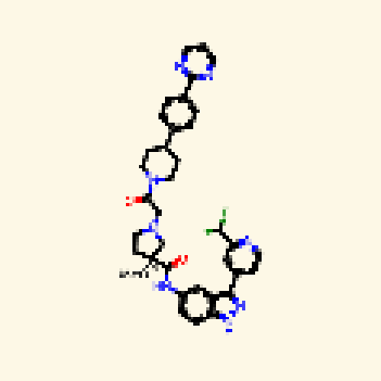 CO[C@@]1(C(=O)Nc2ccc3[nH]nc(-c4ccnc(C(F)F)c4)c3c2)CCN(CC(=O)N2CCC(c3ccc(-c4ncccn4)cc3)CC2)C1